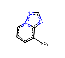 O=[N+]([O-])c1cccn2ncnc12